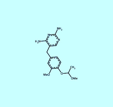 COc1cc(Cc2cnc(N)nc2N)ccc1OC(C)OC